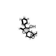 C=C(OC1CC2OC(C)C(C1)N2C)C(CO)c1ccccc1